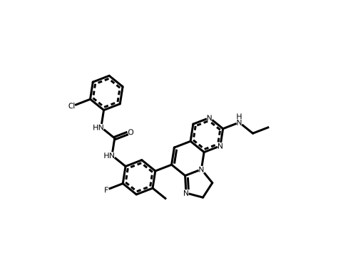 CCNc1ncc2c(n1)N1CCN=C1C(c1cc(NC(=O)Nc3ccccc3Cl)c(F)cc1C)=C2